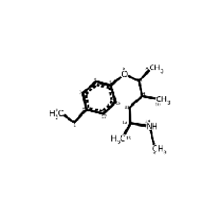 CCc1ccc(OC(C)C(C)CC(C)NC)cc1